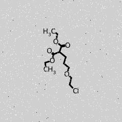 CCOC(=O)C(CCCOCCCl)C(=O)OCC